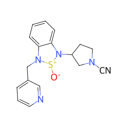 N#CN1CCC(N2c3ccccc3N(Cc3cccnc3)[S+]2[O-])C1